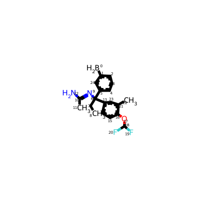 Bc1cccc(C(CC)(/N=C(\C)N)c2ccc(OC(F)F)c(C)c2)c1